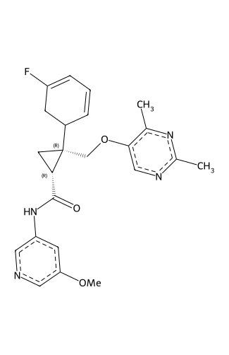 COc1cncc(NC(=O)[C@@H]2C[C@@]2(COc2cnc(C)nc2C)C2C=CC=C(F)C2)c1